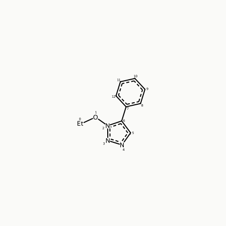 CCOn1nn[c]c1-c1ccccc1